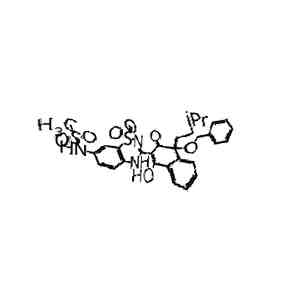 CC(C)CCC1(OCc2ccccc2)C(=O)C(C2=NS(=O)(=O)c3cc(NS(C)(=O)=O)ccc3N2)=C(O)c2ccccc21